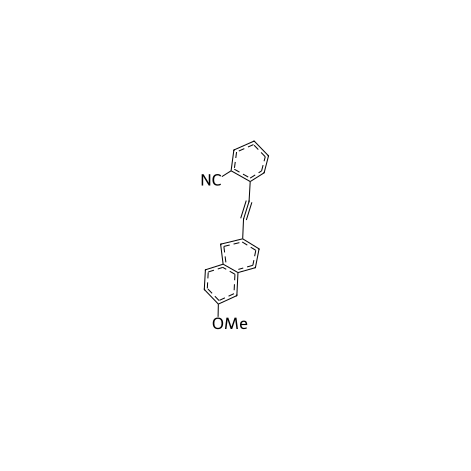 COc1ccc2cc(C#Cc3ccccc3C#N)ccc2c1